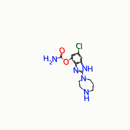 NC(=O)Oc1cc(Cl)cc2[nH]c(N3CCCNCC3)nc12